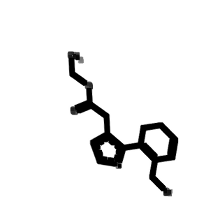 CCOC(=O)Cc1ccsc1C1=C(CBr)C=CCC1